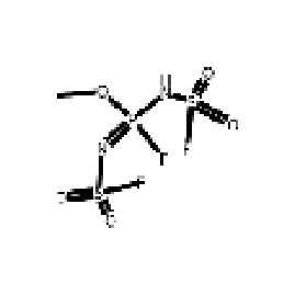 COP(F)(=NS(=O)(=O)F)NS(=O)(=O)F